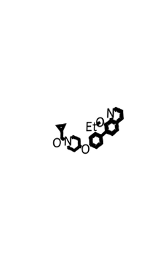 CCOc1c(-c2ccc(OC3CCN(C(=O)C4CC4)CC3)cc2)ccc2cccnc12